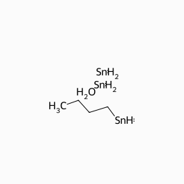 CCC[CH2][SnH].O.[SnH2].[SnH2]